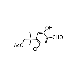 CC(=O)OCC(C)(C)c1cc(O)c(C=O)cc1Cl